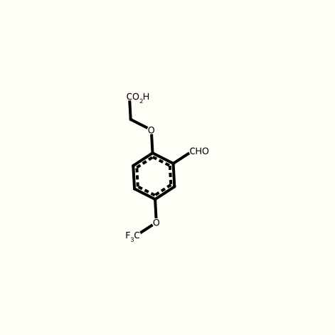 O=Cc1cc(OC(F)(F)F)ccc1OCC(=O)O